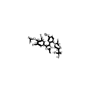 Cc1nc(-c2cc(Br)ccc2-n2cc(C(F)(F)F)nc2C)c(-c2cc(F)c(OC(F)F)c(F)c2)o1